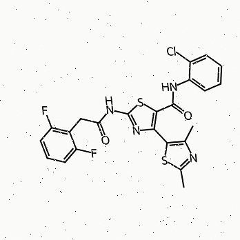 Cc1nc(C)c(-c2nc(NC(=O)Cc3c(F)cccc3F)sc2C(=O)Nc2ccccc2Cl)s1